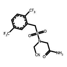 N#CCN(CC(N)=O)S(=O)(=O)Cc1cc(C(F)(F)F)ccc1C(F)(F)F